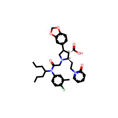 CCCC(CCC)N(C(=O)CN1CC(c2ccc3c(c2)OCO3)[C@H](C(=O)O)[C@H]1CCn1ccccc1=O)c1ccc(F)c(C)c1